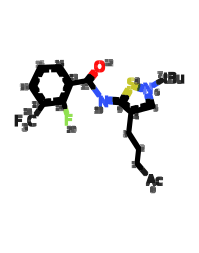 CC(=O)CCCc1cn(C(C)(C)C)s/c1=N\C(=O)c1cccc(C(F)(F)F)c1F